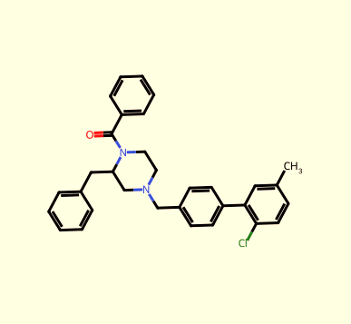 Cc1ccc(Cl)c(-c2ccc(CN3CCN(C(=O)c4ccccc4)C(Cc4ccccc4)C3)cc2)c1